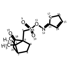 CC1(C)C2CCC1(CS(=O)(=O)O/N=C1/C=C[C]S1)C(=O)C2